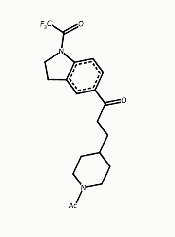 CC(=O)N1CCC(CCC(=O)c2ccc3c(c2)CCN3C(=O)C(F)(F)F)CC1